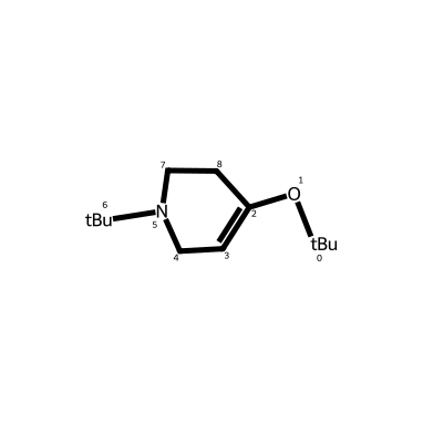 CC(C)(C)OC1=CCN(C(C)(C)C)CC1